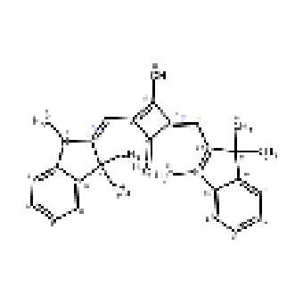 C=C1C(/C=C2/N(C)c3ccccc3C2(C)C)=C(O)C/1=C/C1=[N+](C)c2ccccc2C1(C)C